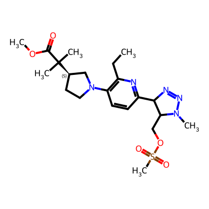 CCc1nc(C2N=NN(C)C2COS(C)(=O)=O)ccc1N1CC[C@@H](C(C)(C)C(=O)OC)C1